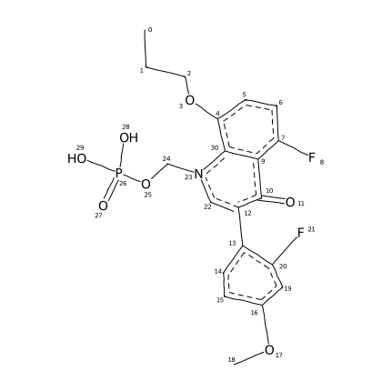 CCCOc1ccc(F)c2c(=O)c(-c3ccc(OC)cc3F)cn(COP(=O)(O)O)c12